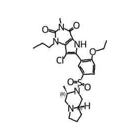 CCCn1c(=O)n(C)c(=O)c2[nH]c(-c3cc(S(=O)(=O)N4C[C@@H]5CCCN5C[C@H]4C)ccc3OCC)c(Cl)c21